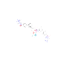 O=C(c1ccc(-c2cccc(NC(=O)C3(OC(=O)C(F)(F)F)CCC(c4cccc(-c5ccc(C(=O)N6CCNCC6)cc5)c4)C3)c2)cc1)N1CCNCC1